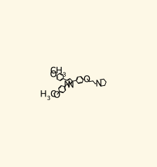 COc1ccc(-c2cc(-c3ccc(OCCCN4CCCCC4)cc3)nn2-c2ccc(OC)cc2)cc1